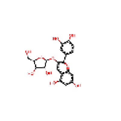 OC[C@H]1OC(Oc2cc3c(O)cc(O)cc3[o+]c2-c2ccc(O)c(O)c2)[C@H](O)[C@H]1O